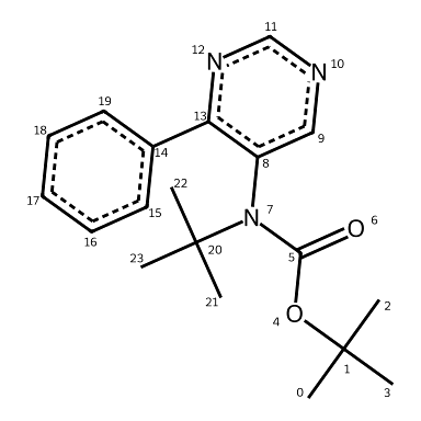 CC(C)(C)OC(=O)N(c1cncnc1-c1ccccc1)C(C)(C)C